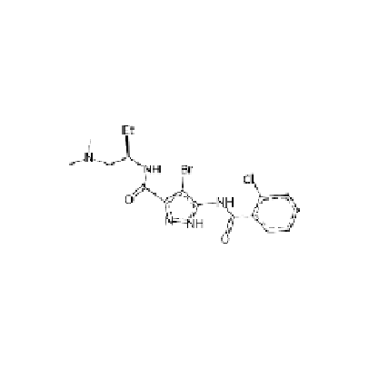 CC[C@H](CN(C)C)NC(=O)c1n[nH]c(NC(=O)c2ccccc2Cl)c1Br